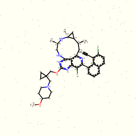 C#Cc1c(F)ccc2cccc(-c3nc4c5c(nc(OCC6(CN7CCC(OC(F)(F)F)CC7)CC6)nc5c3F)NC[C@@H](CC)N[C@H]3CC3[C@@H](C)C4)c12